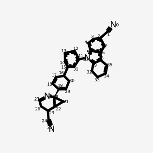 N#Cc1ccc2c(c1)c1c(n2-c2cccc(C3C=CC([C@@]45CC4C(C#N)CC=N5)=CC3)c2)CCC=C1